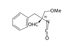 COC[C@@](C=O)(Cc1ccccc1)N=C=O